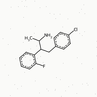 CC(N)C(Cc1ccc(Cl)cc1)c1ccccc1F